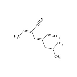 C=C/C(=C\C(C#N)=C/C)CC(C)C